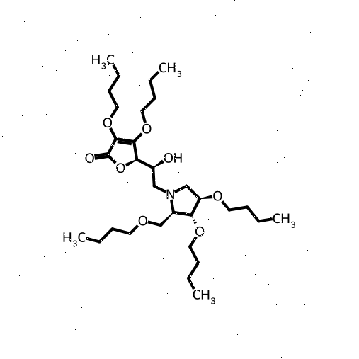 CCCCOC[C@@H]1[C@@H](OCCCC)[C@H](OCCCC)CN1C[C@H](O)[C@H]1OC(=O)C(OCCCC)=C1OCCCC